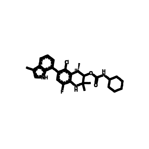 Cc1c[nH]c2c(-c3cc(F)c4c(c3Cl)[C@H](C)C(OC(=O)NC3CCCCC3)C(C)(C)N4)cccc12